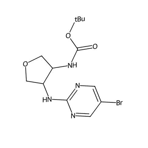 CC(C)(C)OC(=O)NC1COCC1Nc1ncc(Br)cn1